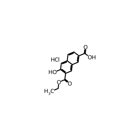 CCOC(=O)c1cc2cc(C(=O)O)ccc2cc1O.Cl